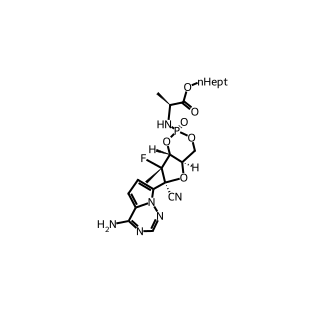 CCCCCCCOC(=O)[C@H](C)NP1(=O)OC[C@H]2O[C@@](C#N)(c3ccc4c(N)ncnn34)[C@](C)(F)[C@@H]2O1